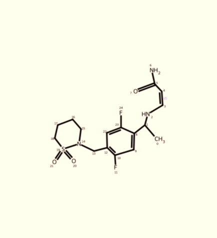 CC(N/C=C\C(N)=O)c1cc(F)c(CN2CCCCS2(=O)=O)cc1F